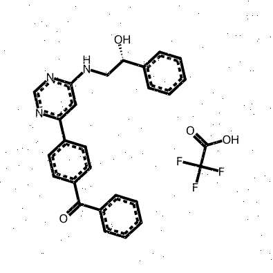 O=C(O)C(F)(F)F.O=C(c1ccccc1)c1ccc(-c2cc(NC[C@H](O)c3ccccc3)ncn2)cc1